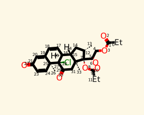 CCC(=O)OCC(=O)[C@]1(OC(=O)CC)[C@@H](C)C[C@H]2[C@@H]3C=CC4=CC(=O)C=C[C@]4(C)[C@@]3(Cl)C(=O)C[C@@]21C